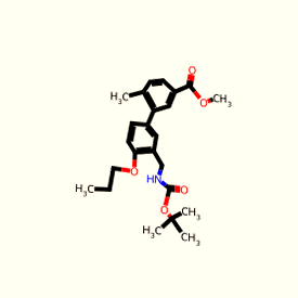 CCCOc1ccc(-c2cc(C(=O)OC)ccc2C)cc1CNC(=O)OC(C)(C)C